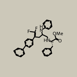 COC(=O)[C@H](Cc1ccccc1)NCC(CC(=C(F)F)c1ccc(-c2ccccc2)cc1)Nc1ccccc1